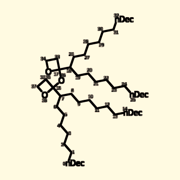 CCCCCCCCCCCCCCCCC(CCCCCCCCCCCCCCCC)C1(OC2(C(CCCCCCCCCCCCCCCC)CCCCCCCCCCCCCCCC)CCO2)CCO1